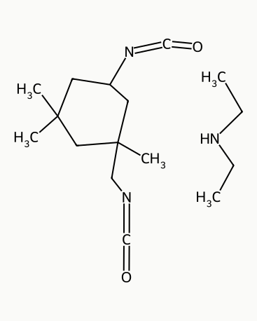 CC1(C)CC(N=C=O)CC(C)(CN=C=O)C1.CCNCC